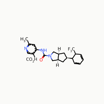 Cc1cc(NC(=O)N2C[C@H]3C[C@@H](C4C=CC=CC4C(F)(F)F)C[C@H]3C2)c(C(=O)O)cn1